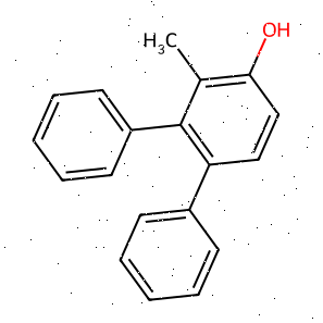 Cc1c(O)ccc(-c2ccccc2)c1-c1ccccc1